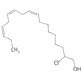 CC/C=C\C/C=C\C/C=C\CCCCCCC(Cl)CO